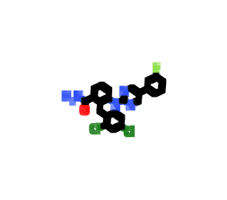 NC(=O)c1cccc(Nc2ncc(-c3cccc(F)c3)cn2)c1Cc1ccc(Cl)cc1Cl